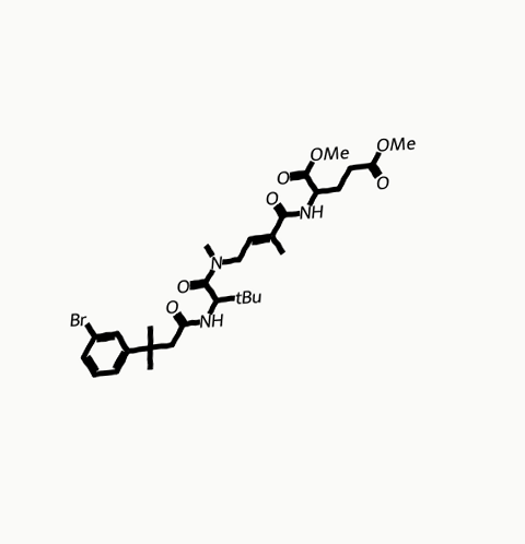 COC(=O)CCC(NC(=O)/C(C)=C/CN(C)C(=O)C(NC(=O)CC(C)(C)c1cccc(Br)c1)C(C)(C)C)C(=O)OC